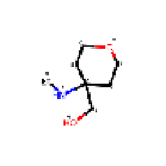 CCNC1(CO)CCOCC1